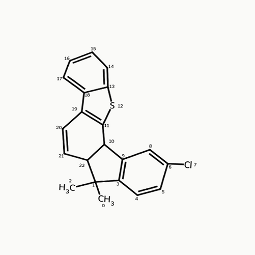 CC1(C)c2ccc(Cl)cc2C2c3sc4ccccc4c3C=CC21